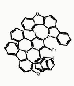 CC(C)c1c(-c2ccccc2F)c(-n2c3ccccc3c3ccc4oc5ccccc5c4c32)c(-c2ccccc2F)c(C(C)C)c1-n1c2ccccc2c2ccc3oc4ccccc4c3c21